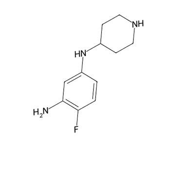 Nc1cc(NC2CCNCC2)ccc1F